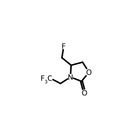 O=C1OCC(CF)N1CC(F)(F)F